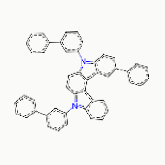 c1ccc(-c2cccc(-n3c4ccccc4c4c5c6cc(-c7ccccc7)ccc6n(-c6cccc(-c7ccccc7)c6)c5ccc43)c2)cc1